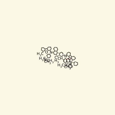 Cc1cccc2c1oc1c(N(c3ccc([Si](C)(C)C)cc3)c3cc4c(c5ccccc35)-c3ccc(N(c5ccc([Si](C)(C)C)cc5)c5cccc6c5oc5c([Si](c7ccccc7)(c7ccccc7)c7ccccc7)cccc56)cc3C4(C)C)cccc12